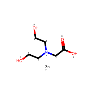 O=C(O)CN(CCO)CCO.[Zn]